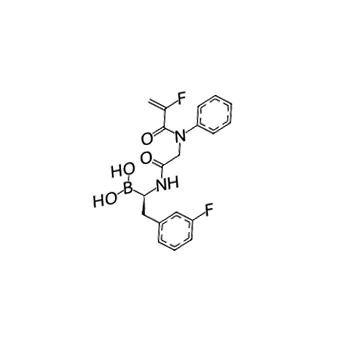 C=C(F)C(=O)N(CC(=O)N[C@@H](Cc1cccc(F)c1)B(O)O)c1ccccc1